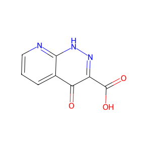 O=C(O)c1n[nH]c2ncccc2c1=O